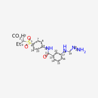 CCC(C(=O)O)S(=O)(=O)c1ccc(NC(=O)c2cccc(NC=NN)c2)cc1